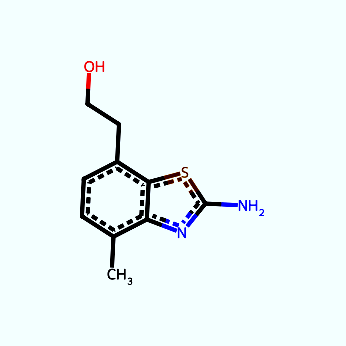 Cc1ccc(CCO)c2sc(N)nc12